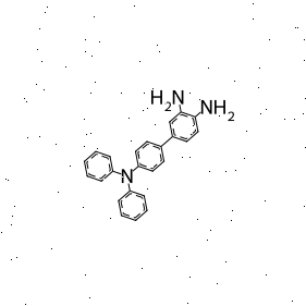 Nc1ccc(-c2ccc(N(c3ccccc3)c3ccccc3)cc2)cc1N